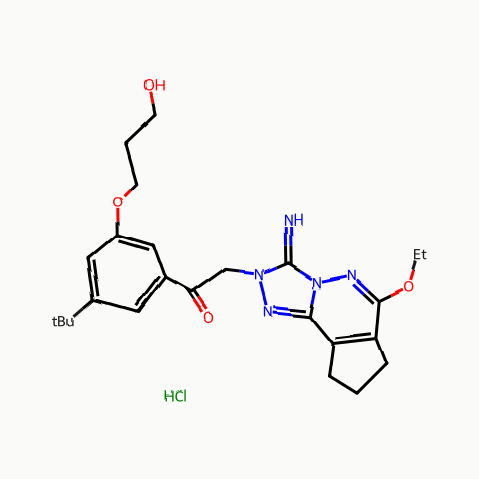 CCOc1nn2c(=N)n(CC(=O)c3cc(OCCCO)cc(C(C)(C)C)c3)nc2c2c1CCC2.Cl